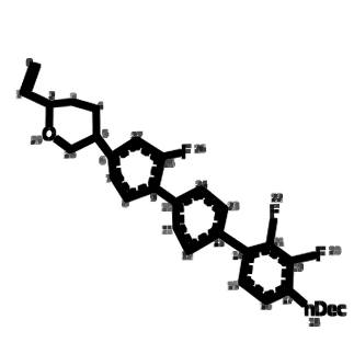 C=CC1CCC(c2ccc(-c3ccc(-c4ccc(CCCCCCCCCC)c(F)c4F)cc3)c(F)c2)CO1